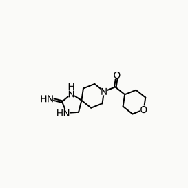 N=C1NCC2(CCN(C(=O)C3CCOCC3)CC2)N1